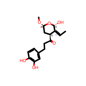 C/C=C1/[C@@H](C(=O)CCc2ccc(O)c(O)c2)C[C@H](OC)O[C@@H]1O